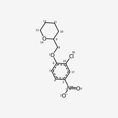 O=[N+]([O-])c1ccc(OCC2CCCCO2)c(Cl)c1